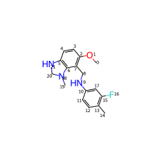 COc1ccc2c(c1CNc1ccc(C)c(F)c1)N(C)CN2